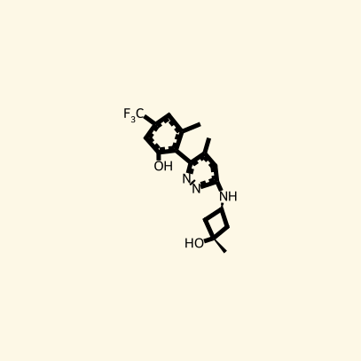 Cc1cc(N[C@H]2C[C@@](C)(O)C2)nnc1-c1c(C)cc(C(F)(F)F)cc1O